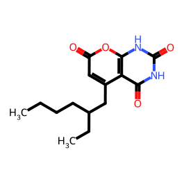 CCCCC(CC)Cc1cc(=O)oc2[nH]c(=O)[nH]c(=O)c12